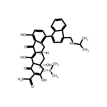 CC(C)NCc1ccc(-c2ccc(O)c3c2C[C@H]2C[C@]4(O)C(C(=O)C(C(N)=O)=C(O)[C@H]4N(C)C)C(O)=C2C3=O)c2ccccc12